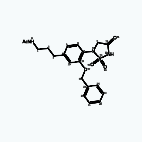 CC(=O)NCCCc1ccc(N2CC(=O)NS2(=O)=O)c(OCc2ccccc2)c1